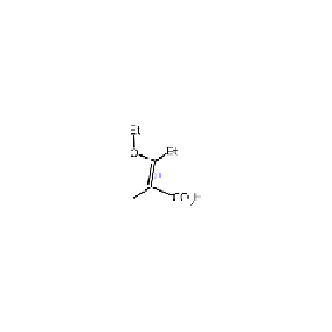 CCO/C(CC)=C(\C)C(=O)O